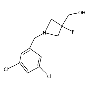 OCC1(F)CN(Cc2cc(Cl)cc(Cl)c2)C1